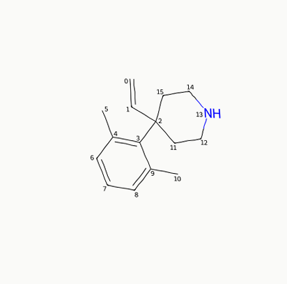 C=CC1(c2c(C)cccc2C)CCNCC1